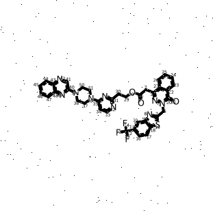 O=C(Cc1nn(Cc2nc3cc(C(F)(F)F)ccc3s2)c(=O)c2ccccc12)OCCc1nccc(N2CCN(c3cnc4ccccc4n3)CC2)n1